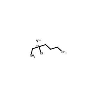 CCCC[C@](CC)(CN)CCCN